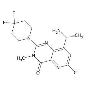 C[C@@H](N)c1cc(Cl)nc2c(=O)n(C)c(N3CCC(F)(F)CC3)nc12